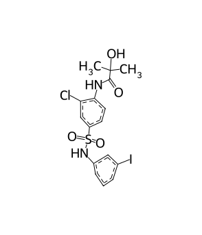 CC(C)(O)C(=O)Nc1ccc(S(=O)(=O)Nc2cccc(I)c2)cc1Cl